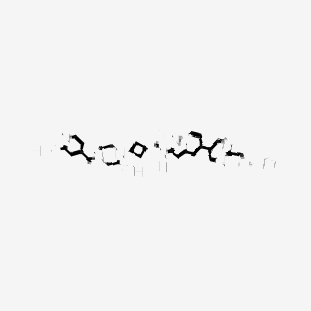 CCCOCc1ncc(-c2ccn3nc(NC(=O)[C@H]4C[C@@H](N5CCN(C(=O)c6ccnc(C)c6)C[C@@H]5C)C4)cc3c2)cn1